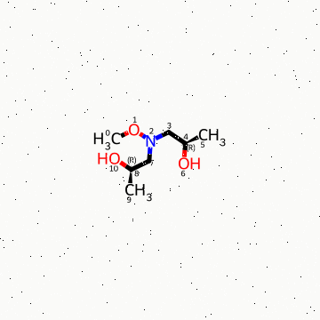 CON(C[C@@H](C)O)C[C@@H](C)O